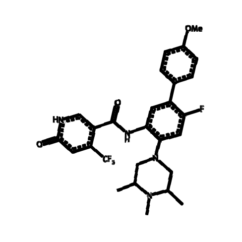 COc1ccc(-c2cc(NC(=O)c3c[nH]c(=O)cc3C(F)(F)F)c(N3CC(C)N(C)C(C)C3)cc2F)cc1